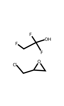 ClCC1CO1.OC(F)(F)CF